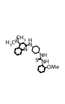 COc1ccccc1NC(=S)N[C@H]1CC[C@@H](Nc2cc(N(C)C)c3ccccc3n2)CC1